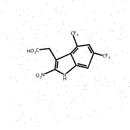 O=C(O)Cc1c([N+](=O)[O-])[nH]c2cc(C(F)(F)F)cc(C(F)(F)F)c12